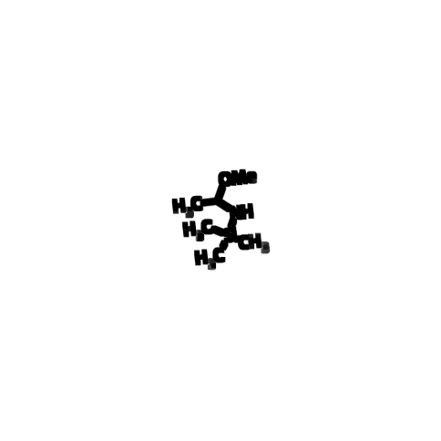 COC(C)N[Si](C)(C)C